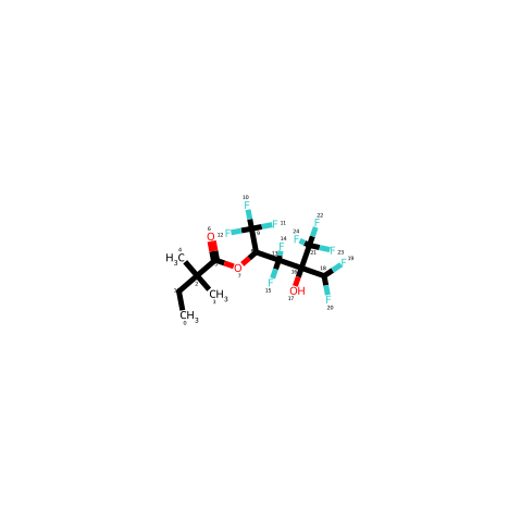 CCC(C)(C)C(=O)OC(C(F)(F)F)C(F)(F)C(O)(C(F)F)C(F)(F)F